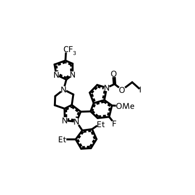 CCc1cccc(CC)c1-n1nc2c(c1-c1cc(F)c(OC)c3c1ccn3C(=O)OCI)CN(c1ncc(C(F)(F)F)cn1)CC2